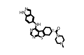 CN1CCN(C(=O)[C@H]2CCc3c(sc4ncnc(Nc5ccc6[nH]ncc6c5)c34)C2)CC1